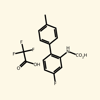 Cc1ccc(-c2ccc(F)cc2NC(=O)O)cc1.O=C(O)C(F)(F)F